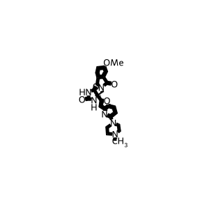 COc1ccc2c(c1)C(=O)N(C[C@@]1(c3cc4nc(N5CCN(C)CC5)ccc4o3)NC(=O)NC1=O)C2